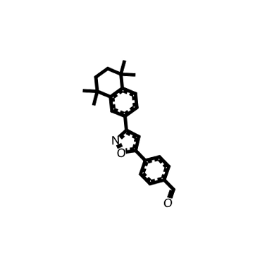 CC1(C)CCC(C)(C)c2cc(-c3cc(-c4ccc(C=O)cc4)on3)ccc21